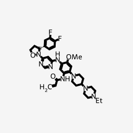 C=CC(=O)Nc1cc(Nc2cc(N3OCC[C@@H]3c3ccc(F)c(F)c3)ncn2)c(OC)cc1N1CCC(N2CCN(CC)CC2)CC1